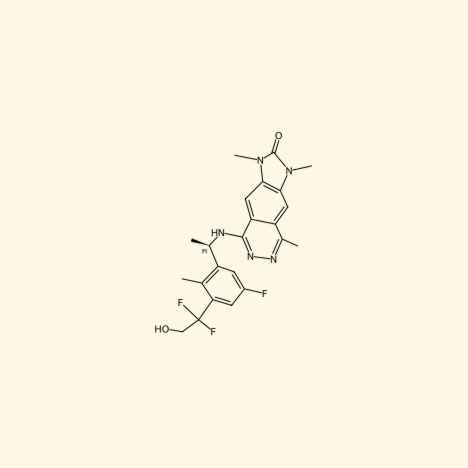 Cc1c([C@@H](C)Nc2nnc(C)c3cc4c(cc23)n(C)c(=O)n4C)cc(F)cc1C(F)(F)CO